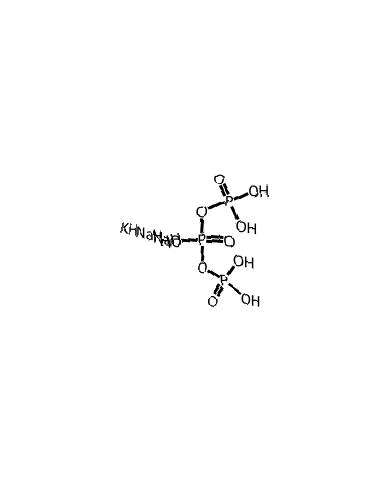 O=P(O)(O)OP(=O)(O)OP(=O)(O)O.[KH].[NaH].[NaH]